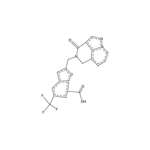 O=C(O)c1cc(C(F)(F)F)cc2cc(CN3Cc4cccn5ncc(c45)C3=O)oc12